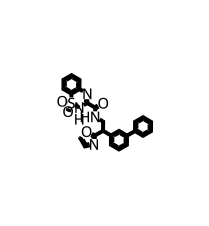 O=C(NCC(c1cccc(-c2ccccc2)c1)c1ncco1)C1=Nc2ccccc2S(=O)(=O)N1